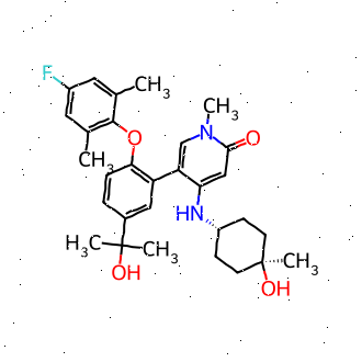 Cc1cc(F)cc(C)c1Oc1ccc(C(C)(C)O)cc1-c1cn(C)c(=O)cc1N[C@H]1CC[C@](C)(O)CC1